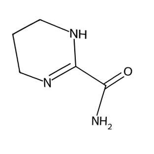 NC(=O)C1=NCCCN1